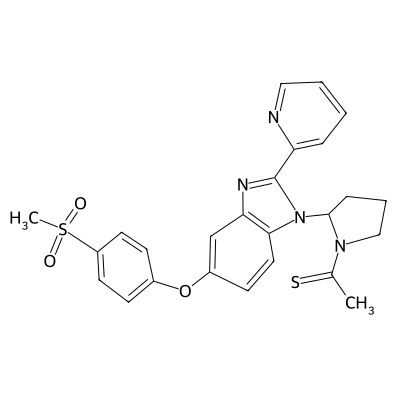 CC(=S)N1CCCC1n1c(-c2ccccn2)nc2cc(Oc3ccc(S(C)(=O)=O)cc3)ccc21